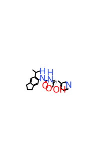 CC(C)c1cc2c(cc1NC(=O)N[C@H](Cc1cccnc1)C(=O)O)CCC2